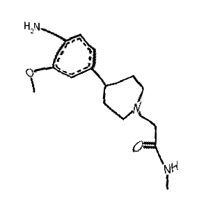 CNC(=O)CN1CCC(c2ccc(N)c(OC)c2)CC1